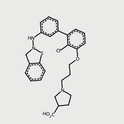 O=C(O)C1CCN(CCCOc2cccc(-c3cccc(NN4Cc5ccccc5S4)c3)c2Cl)C1